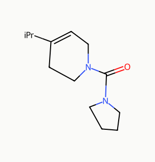 CC(C)C1=CCN(C(=O)N2CCCC2)CC1